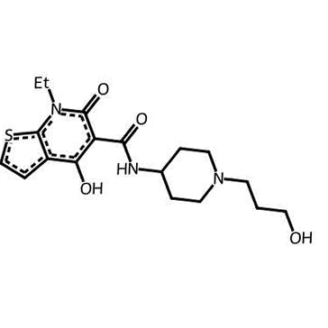 CCn1c(=O)c(C(=O)NC2CCN(CCCO)CC2)c(O)c2ccsc21